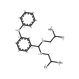 CCCCC(CC)COC(OCC(CC)CCCC)c1cccc(Oc2ccccc2)c1